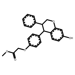 COC(=O)CSc1ccc(C2c3ccc(O)cc3OCC2c2ccccc2)cc1